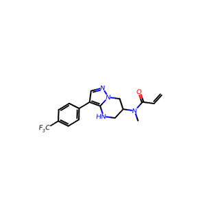 C=CC(=O)N(C)C1CNc2c(-c3ccc(C(F)(F)F)cc3)cnn2C1